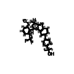 CC(C)(O)c1ncc(-c2ccc3nc4n(c3c2)[C@@H]2C[C@H]4C[S@@+]([O-])c3cccc(OC(F)F)c32)cn1